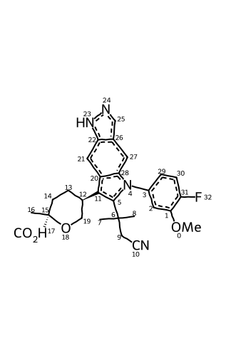 COc1cc(-n2c(C(C)(C)CC#N)c([C@@H]3CC[C@@](C)(C(=O)O)OC3)c3cc4[nH]ncc4cc32)ccc1F